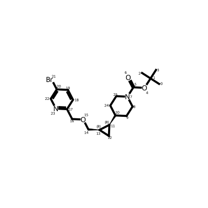 CC(C)(C)OC(=O)N1CCC([C@H]2C[C@H]2COCc2ccc(Br)cn2)CC1